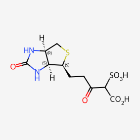 O=C1N[C@H]2[C@H](CS[C@H]2CCC(=O)C(C(=O)O)S(=O)(=O)O)N1